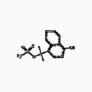 CS(C)(OS(=O)(=O)C(F)(F)F)c1ccc(C#N)c2ccccc12